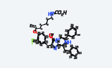 CCC(CCCCCNC(=O)O)Oc1ccc(Cc2nc3c(Cc4ccccc4)[nH]c(-c4ccccc4)cn-3c2=O)cc1F